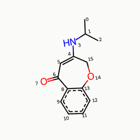 CC(C)NC1=CC(=O)c2ccccc2OC1